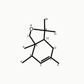 CC1=CC(C)C2(C)COC(C)(C)C2C1